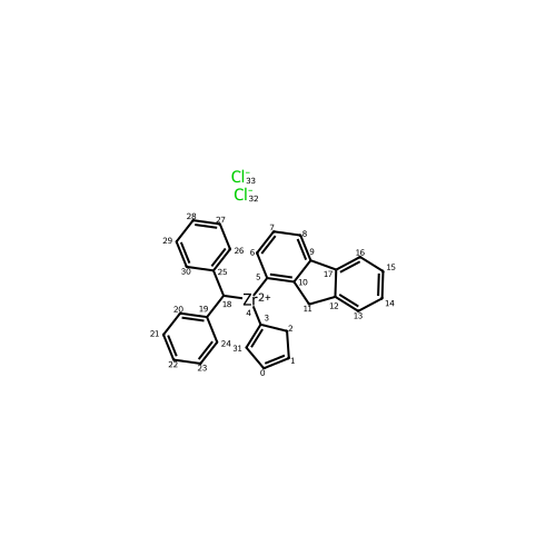 C1=CC[C]([Zr+2]([c]2cccc3c2Cc2ccccc2-3)[CH](c2ccccc2)c2ccccc2)=C1.[Cl-].[Cl-]